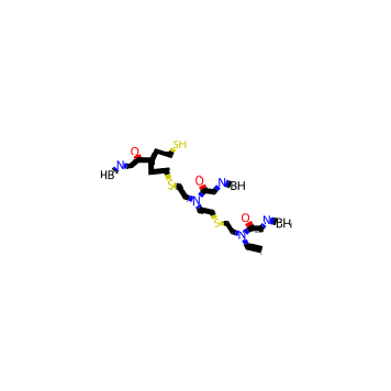 B=NCC(=O)C(CCS)CCSCCN(CCSCCN(C=C)C(=O)CN=B)C(=O)CN=B